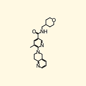 Cc1cc(C(=O)NCC2CCOCC2)cnc1N1CCc2ncccc2C1